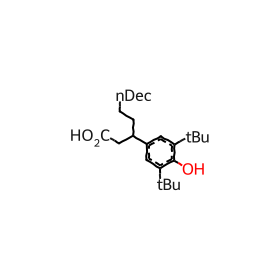 CCCCCCCCCCCCC(CC(=O)O)c1cc(C(C)(C)C)c(O)c(C(C)(C)C)c1